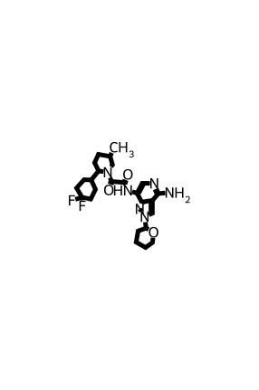 CC1CCC(C2CCC(F)(F)CC2)N(C(=O)C(=O)Nc2cnc(N)c3cn(C4CCCCO4)nc23)C1